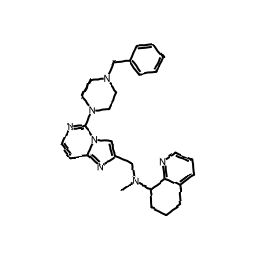 CN(Cc1cn2c(N3CCN(Cc4ccccc4)CC3)nccc2n1)C1CCCc2cccnc21